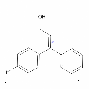 OC/C=C(/c1ccccc1)c1ccc(I)cc1